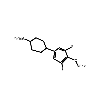 CCCCCCOc1c(F)cc(C2CCC(CCCCC)CC2)cc1F